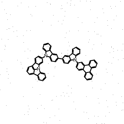 c1ccc2c(c1)c1ccccc1c1cc(-n3c4ccccc4c4cc(-c5ccc6c(c5)c5ccccc5n6-c5ccc6c7cccc8c9ccccc9n(c6c5)c87)ccc43)ccc21